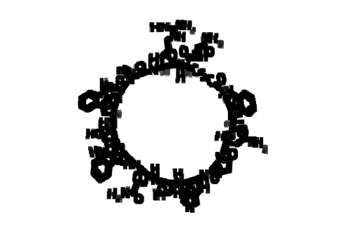 CCCC[C@H]1C(=O)N(C)[C@@H](CCCC)C(=O)N[C@@H](CCCNC(=N)N)C(=O)N[C@H](C(=O)NCC(N)=O)CSCC(=O)N[C@@H](Cc2ccccc2)C(=O)N(C)[C@@H](C)C(=O)N[C@@H](CC(N)=O)C(=O)N2CCC[C@H]2C(=O)N[C@@H](Cc2cnc[nH]2)C(=O)N[C@@H](CC(C)C)C(=O)N[C@@H](CCC(N)=O)C(=O)N[C@@H](Cc2c[nH]c3ccccc23)C(=O)N[C@@H](CO)C(=O)N[C@@H](Cc2c[nH]c3ccccc23)C(=O)N1C